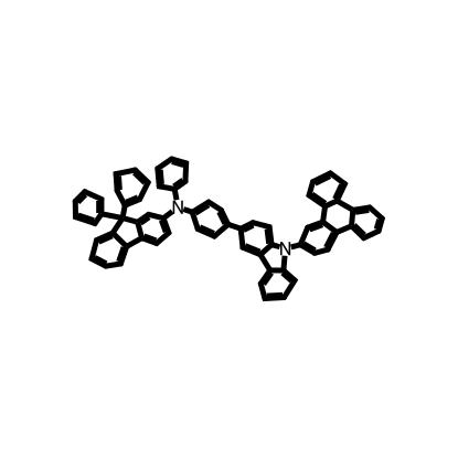 c1ccc(N(c2ccc(-c3ccc4c(c3)c3ccccc3n4-c3ccc4c5ccccc5c5ccccc5c4c3)cc2)c2ccc3c(c2)C(c2ccccc2)(c2ccccc2)c2ccccc2-3)cc1